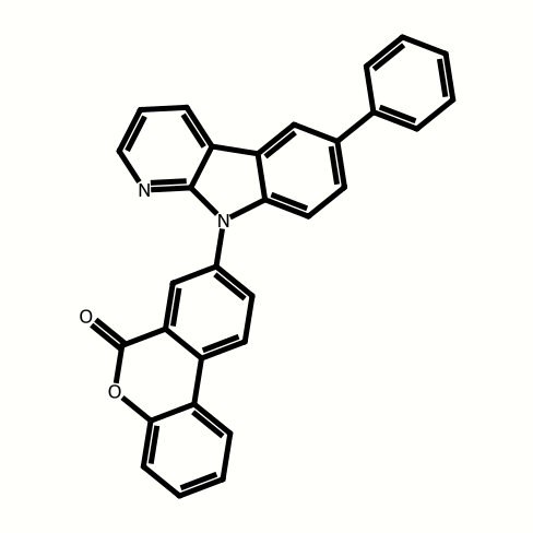 O=c1oc2ccccc2c2ccc(-n3c4ccc(-c5ccccc5)cc4c4cccnc43)cc12